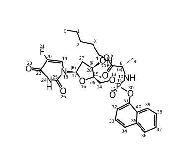 CCCCCOC(=O)[C@H](C)NP(=O)(OC[C@H]1O[C@@H](n2cc(F)c(=O)[nH]c2=O)C[C@H]1O)Oc1cccc2ccccc12